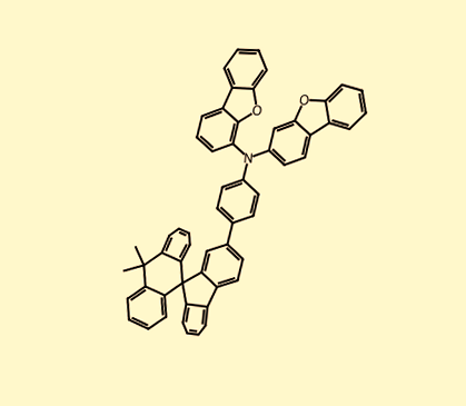 CC1(C)c2ccccc2C2(c3ccccc3-c3ccc(-c4ccc(N(c5ccc6c(c5)oc5ccccc56)c5cccc6c5oc5ccccc56)cc4)cc32)c2ccccc21